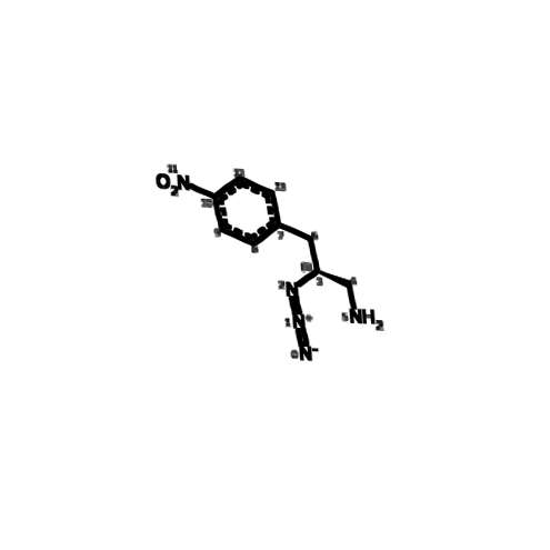 [N-]=[N+]=N[C@H](CN)Cc1ccc([N+](=O)[O-])cc1